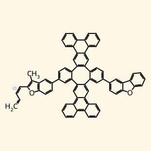 C=C/C=C\c1oc2ccc(-c3ccc4c(c3)-c3cc5c6ccccc6c6ccccc6c5cc3-c3cc(-c5ccc6oc7ccccc7c6c5)ccc3-c3cc5c6ccccc6c6ccccc6c5cc3-4)cc2c1C